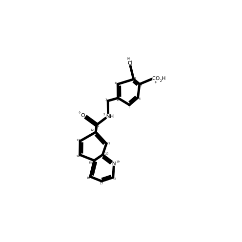 O=C(NCc1ccc(C(=O)O)c(Cl)c1)c1ccc2cccnc2c1